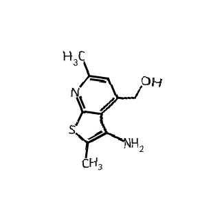 Cc1cc(CO)c2c(N)c(C)sc2n1